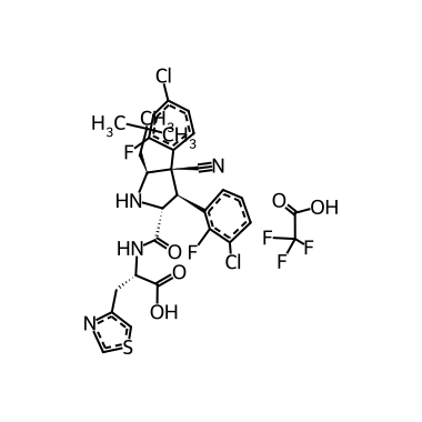 CC(C)(C)C[C@@H]1N[C@@H](C(=O)N[C@@H](Cc2cscn2)C(=O)O)[C@H](c2cccc(Cl)c2F)[C@@]1(C#N)c1ccc(Cl)cc1F.O=C(O)C(F)(F)F